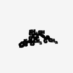 COC(=O)C#CC(O)c1ccc(ON(C(C)=O)c2nc3ccccc3s2)c(OC)c1